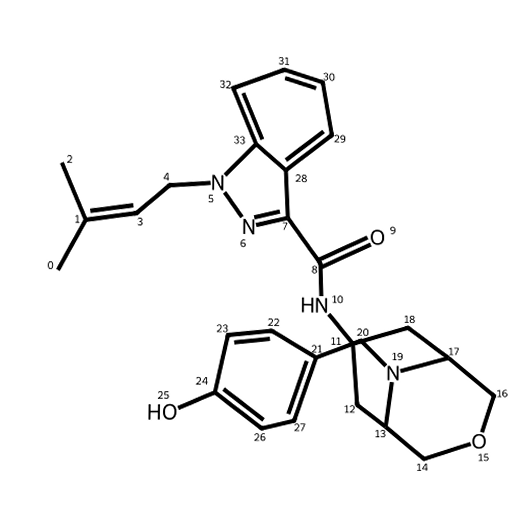 CC(C)=CCn1nc(C(=O)NC2CC3COCC(C2)N3Cc2ccc(O)cc2)c2ccccc21